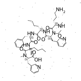 CCCC[C@H](NC(=O)[C@H](Cc1cccnc1)N(C(C)=O)C(=O)[C@H](CCCN)NC)C(=O)N[C@@H](Cc1ccccc1)C(=O)N[C@@](F)(CCCC)C(=O)N(C)[C@@H](Cc1cccnc1)C(=O)O